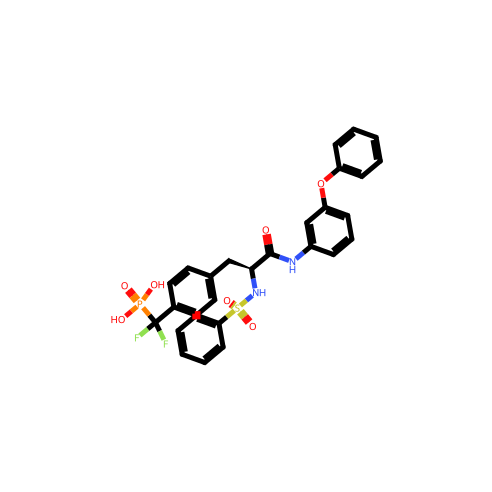 O=C(Nc1cccc(Oc2ccccc2)c1)[C@H](Cc1ccc(C(F)(F)P(=O)(O)O)cc1)NS(=O)(=O)c1ccccc1